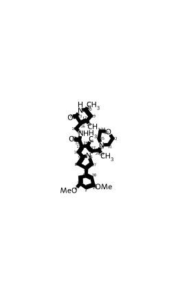 COc1cc(OC)cc(-c2cc3cc(C(=O)NCc4c(C)cc(C)[nH]c4=O)c(C)c(C(C)N4CCOCC4)n3c2)c1